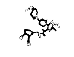 C=C(NCc1ccc(Cl)c(Cl)c1)/C(C)=C(\N=C(\C)N)C(=O)N1CCC(N2CCC(O)CC2)CC1